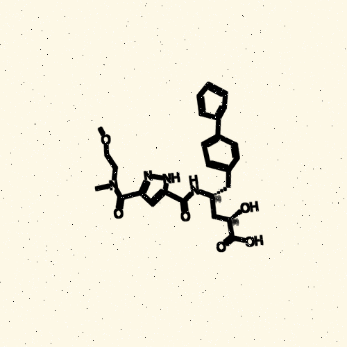 COCCN(C)C(=O)c1cc(C(=O)N[C@H](Cc2ccc(-c3ccccc3)cc2)C[C@@H](O)C(=O)O)[nH]n1